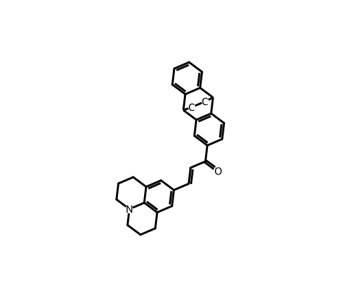 O=C(C=Cc1cc2c3c(c1)CCCN3CCC2)c1ccc2c(c1)C1CCC2c2ccccc21